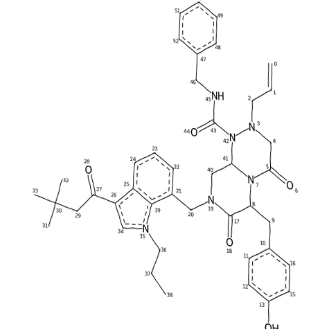 C=CCN1CC(=O)N2C(Cc3ccc(O)cc3)C(=O)N(Cc3cccc4c(C(=O)CC(C)(C)C)cn(CCC)c34)CC2N1C(=O)NCc1ccccc1